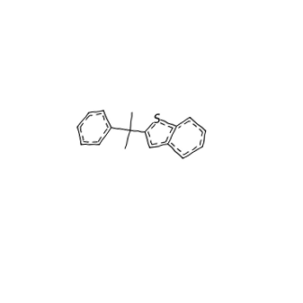 CC(C)(c1ccccc1)c1cc2ccccc2s1